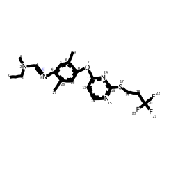 CCN(C)/C=N/c1cc(C)c(Oc2ccnc(SCCC(F)(F)F)n2)cc1C